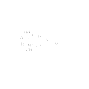 CN(c1ncnc2[nH]ccc12)[C@H]1C[C@@H]2CN(CC#N)C[C@@H]2C1